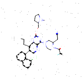 C=C(F)C(=O)N1CCN(c2nc(OCC3CCCN3C)nc3c(CCC)c(-c4cccc5cccc(Cl)c45)cnc23)CC1CC#N